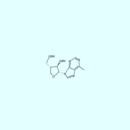 COC[C@H]1CO[C@@H](n2cnc3c(C)ncnc32)[C@@H]1OC